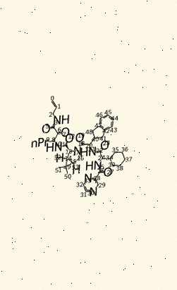 C=CCNC(=O)C(=O)C(CCC)NC(=O)[C@@H]1[C@@H]2[C@H](CN1C(=O)[C@@H](NC(=O)[C@@H](NC(=O)c1cnccn1)C1CCCCC1)C1Cc3ccccc3C1)C2(C)C